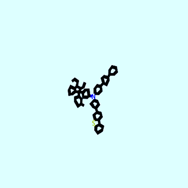 C=CC1C(/C=C\C)c2ccccc2C1(C1=CC=CC(C)C1)c1ccc(N(c2ccc(-c3ccc(C4C=CC=CC4)cc3)cc2)c2ccc(-c3ccc4c(c3)sc3ccccc34)cc2)cc1